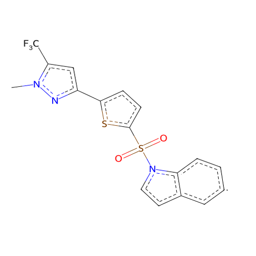 Cn1nc(-c2ccc(S(=O)(=O)n3ccc4c[c]ccc43)s2)cc1C(F)(F)F